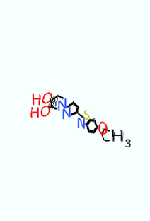 COc1ccc2nc(-c3ccc(N4CC[C@H](O)[C@H](O)C4)nc3)sc2c1